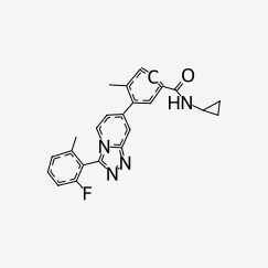 Cc1ccc(C(=O)NC2CC2)cc1-c1ccn2c(-c3c(C)cccc3F)nnc2c1